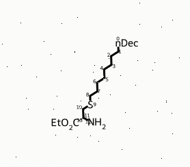 CCCCCCCCCCCCCCCCCCSC[C@H](N)C(=O)OCC